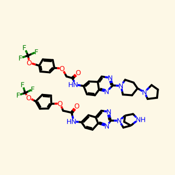 O=C(COc1ccc(OC(F)(F)F)cc1)Nc1ccc2nc(N3CC4CC3CN4)ncc2c1.O=C(COc1ccc(OC(F)(F)F)cc1)Nc1ccc2nc(N3CCC(N4CCCC4)CC3)ncc2c1